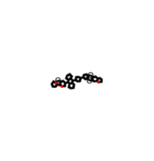 c1ccc2cc3c(cc2c1)Oc1ccc(-c2ccc(-c4c5ccccc5c(-c5ccc6c(c5)oc5ccccc56)c5ccccc45)cc2)cc1O3